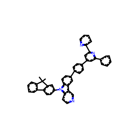 CC1(C)c2ccccc2-c2ccc(-n3c4ccncc4c4cc(-c5ccc(-c6cc(-c7ccccc7)nc(-c7ccccn7)c6)cc5)ccc43)cc21